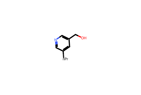 CCCc1cncc(CO)c1